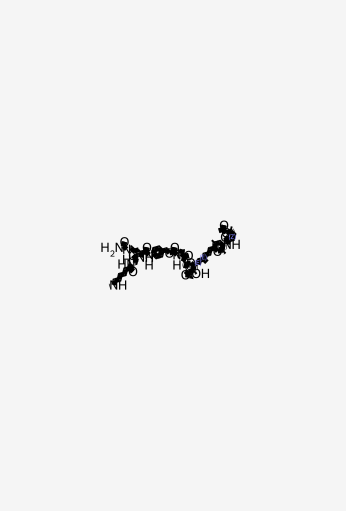 CNCCCCCC(=O)NCC(=O)N[C@@H](CCCNC(N)=O)C(=O)Nc1ccc(COC(=O)NN(C)C(=O)C[C@@H]2C[C@@]3(CO3)[C@H](O)[C@@H](/C=C/C(C)=C/CCC3O[C@H](C)[C@H](NC(=O)/C=C\[C@H](C)OC(C)=O)C[C@@H]3C)O2)cc1